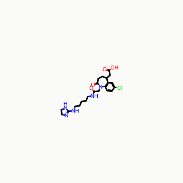 O=C(O)CC1CCC(=O)N(CC(=O)NCCCCCNC2=NCCN2)c2ccc(Cl)cc21